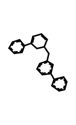 C1=CC(Cc2cccc(-c3ccccc3)c2)CC(c2ccccc2)=C1